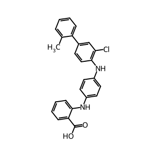 Cc1ccccc1-c1ccc(Nc2ccc(Nc3ccccc3C(=O)O)cc2)c(Cl)c1